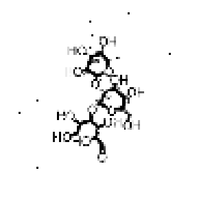 C[C@@H]1O[C@@H](O[C@H]2[C@H](OC(C(O)CO)C(O)C(O)C=O)O[C@H](CO)[C@@H](O)[C@@H]2O)[C@H](O)[C@H](O)[C@H]1O